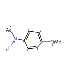 COc1ccc(N(F)C(C)=O)cc1